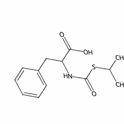 CC(C)SC(=O)NC(Cc1ccccc1)C(=O)O